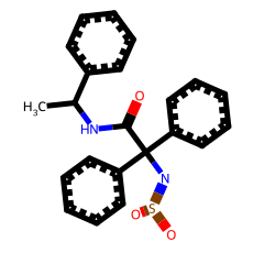 CC(NC(=O)C(N=S(=O)=O)(c1ccccc1)c1ccccc1)c1ccccc1